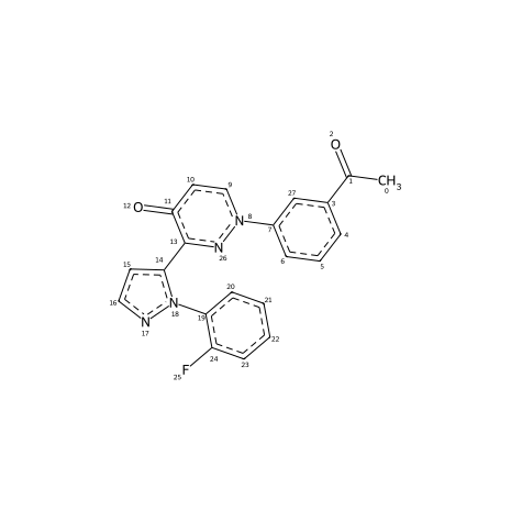 CC(=O)c1cccc(-n2ccc(=O)c(-c3ccnn3-c3ccccc3F)n2)c1